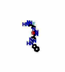 FC1(c2c[nH]nn2)CN(c2nnc(-c3cnc(NC4Cc5ccccc5C4)nc3)o2)C1